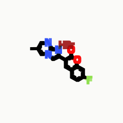 Br.Cc1cnc2nc(-c3cc4ccc(F)cc4oc3=O)cn2c1